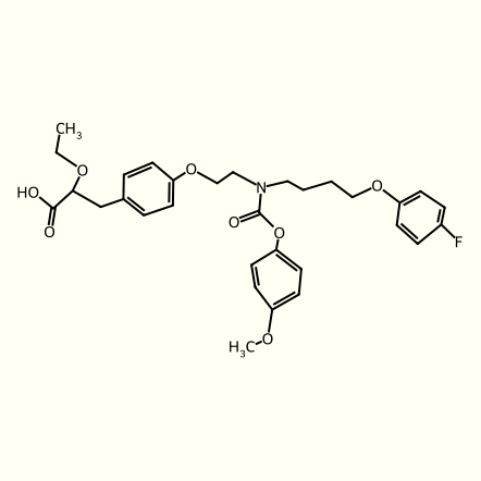 CCOC(Cc1ccc(OCCN(CCCCOc2ccc(F)cc2)C(=O)Oc2ccc(OC)cc2)cc1)C(=O)O